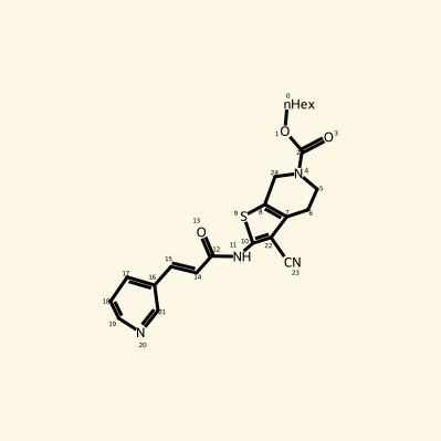 CCCCCCOC(=O)N1CCc2c(sc(NC(=O)C=Cc3cccnc3)c2C#N)C1